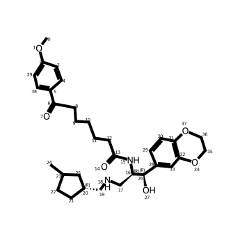 COc1ccc(C(=O)CCCCCC(=O)N[C@H](CNC[C@@H]2CCC(C)C2)[C@H](O)c2ccc3c(c2)OCCO3)cc1